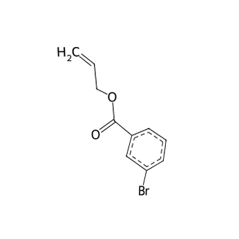 C=CCOC(=O)c1cccc(Br)c1